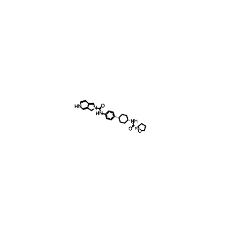 O=C(N[C@H]1CC[C@@H](c2ccc(NC(=O)N3C=C4C=CNC=C4C3)cc2)CC1)[C@@H]1CCCO1